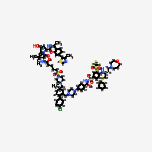 Cc1ncsc1-c1ccc([C@H](C)NC(=O)[C@@H]2C[C@@H](O)CN2C(=O)[C@@H](NC(=O)CCCCS(=O)(=O)N2CCN(C[C@]3(C)CCC(c4ccc(Cl)cc4)=C(CN4CCN(c5ccc(C(=O)NS(=O)(=O)c6ccc(N[C@H](CCN7CCCOCC7)CSc7ccccc7)c(S(=O)(=O)C(F)(F)F)c6)cc5)CC4)C3)CC2)C(C)(C)C)cc1